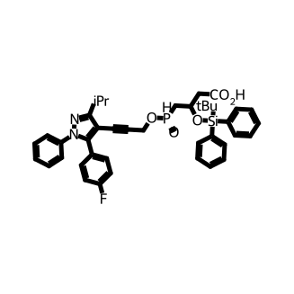 CC(C)c1nn(-c2ccccc2)c(-c2ccc(F)cc2)c1C#CCO[PH](=O)CC(CC(=O)O)O[Si](c1ccccc1)(c1ccccc1)C(C)(C)C